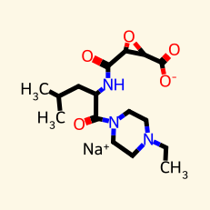 CCN1CCN(C(=O)C(CC(C)C)NC(=O)C2OC2C(=O)[O-])CC1.[Na+]